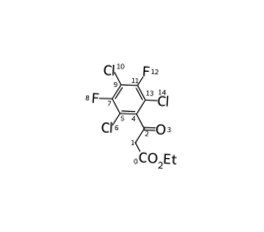 CCOC(=O)CC(=O)c1c(Cl)c(F)c(Cl)c(F)c1Cl